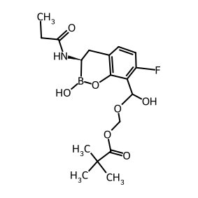 CCC(=O)N[C@H]1Cc2ccc(F)c(C(O)OCOC(=O)C(C)(C)C)c2OB1O